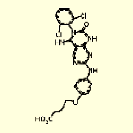 N=c1c2cnc(Nc3ccc(OCCCC(=O)O)cc3)nc2[nH]c(=O)n1-c1c(Cl)cccc1Cl